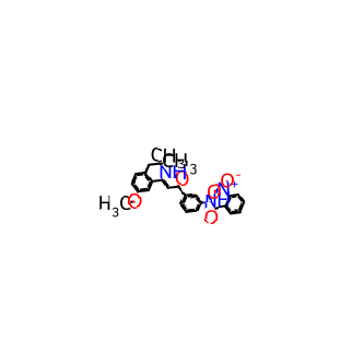 COc1ccc2c(c1)/C(=C/C(=O)c1cccc(NC(=O)c3ccccc3[N+](=O)[O-])c1)NC(C)(C)C2